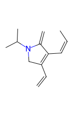 C=CC1=C(/C=C\C)C(=C)N(C(C)C)C1